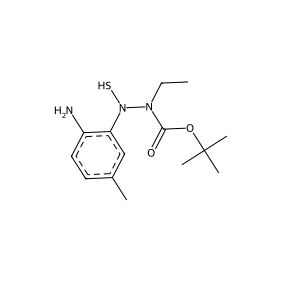 CCN(C(=O)OC(C)(C)C)N(S)c1cc(C)ccc1N